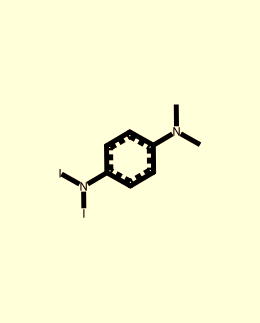 CN(C)c1ccc(N(I)I)cc1